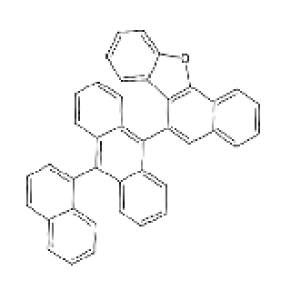 c1ccc2c(-c3c4ccccc4c(-c4cc5ccccc5c5oc6ccccc6c45)c4ccccc34)cccc2c1